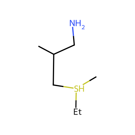 CC[SH](C)CC(C)CN